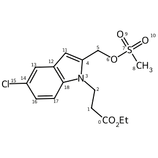 CCOC(=O)CCn1c(COS(C)(=O)=O)cc2cc(Cl)ccc21